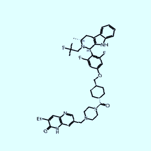 CCc1cc2ncc(CN3CCN(C(=O)[C@H]4CC[C@H](COc5cc(F)c([C@@H]6c7[nH]c8ccccc8c7C[C@@H](C)N6CC(C)(C)F)c(F)c5)CC4)CC3)cc2[nH]c1=O